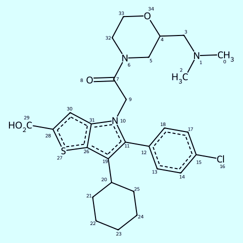 CN(C)CC1CN(C(=O)Cn2c(-c3ccc(Cl)cc3)c(C3CCCCC3)c3sc(C(=O)O)cc32)CCO1